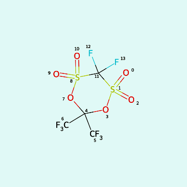 O=S1(=O)OC(C(F)(F)F)(C(F)(F)F)OS(=O)(=O)C1(F)F